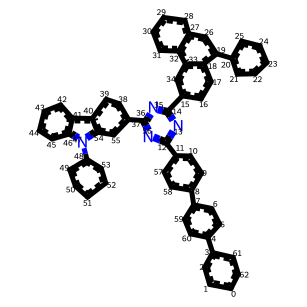 c1ccc(-c2ccc(-c3ccc(-c4nc(-c5ccc6c(-c7ccccc7)cc7ccccc7c6c5)nc(-c5ccc6c7ccccc7n(-c7ccccc7)c6c5)n4)cc3)cc2)cc1